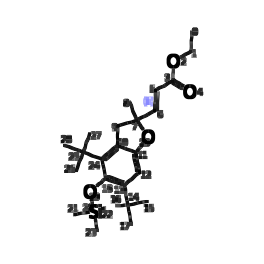 CCOC(=O)/C=C/C1(C)Cc2c(cc(C(C)(C)C)c(O[Si](C)(C)C)c2C(C)(C)C)O1